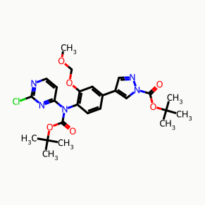 COCOc1cc(-c2cnn(C(=O)OC(C)(C)C)c2)ccc1N(C(=O)OC(C)(C)C)c1ccnc(Cl)n1